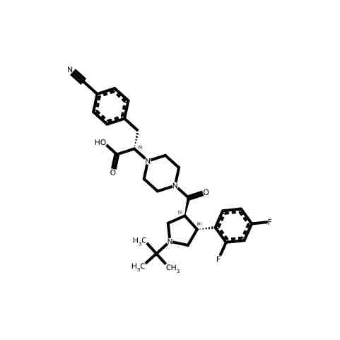 CC(C)(C)N1C[C@@H](C(=O)N2CCN([C@@H](Cc3ccc(C#N)cc3)C(=O)O)CC2)[C@H](c2ccc(F)cc2F)C1